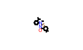 CCN(C1=NC(=O)C2CC(C)(C)CCC2S1)c1ccccc1C(C)C